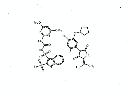 CC(C)=C1OC(=O)N(c2cc(OC3CCCC3)c(Cl)cc2F)C1=O.CCS(=O)(=O)c1nc2ccccn2c1S(=O)(=O)NC(=O)Nc1nc(OC)cc(OC)n1